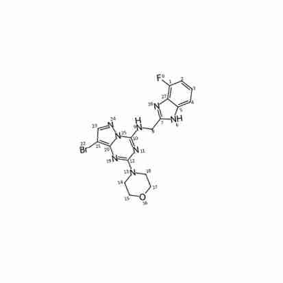 Fc1cccc2[nH]c(CNc3nc(N4CCOCC4)nc4c(Br)cnn34)nc12